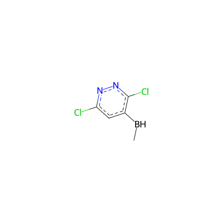 CBc1cc(Cl)nnc1Cl